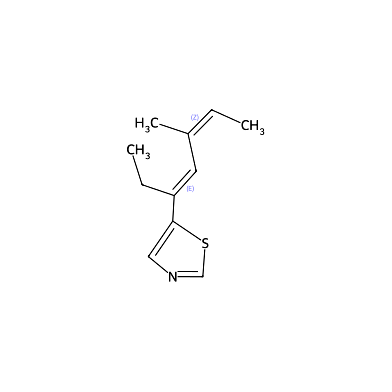 C/C=C(C)\C=C(/CC)c1cncs1